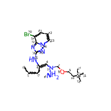 C/C=C\C(=C/N(N)COCC[Si](C)(C)C)Nc1nc2c(Br)cccn2n1